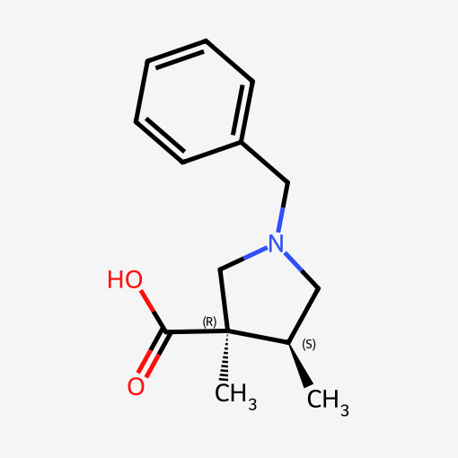 C[C@@H]1CN(Cc2ccccc2)C[C@]1(C)C(=O)O